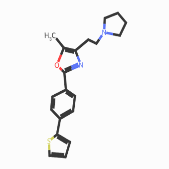 Cc1oc(-c2ccc(-c3cccs3)cc2)nc1CCN1CCCC1